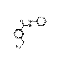 CSc1cccc(C(=O)NNc2ccccc2)c1